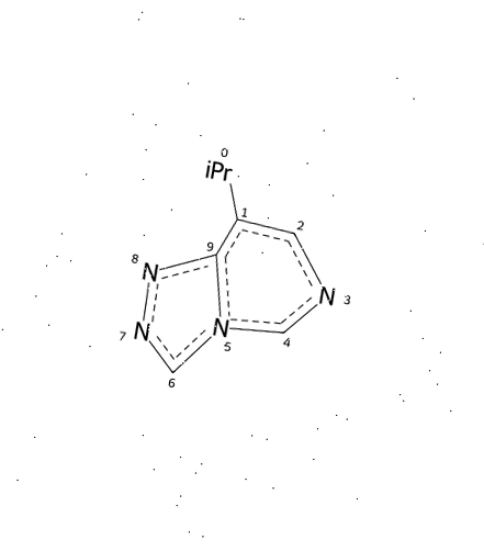 CC(C)c1cncn2cnnc12